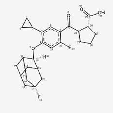 O=C(c1cc(C2CC2)c(O[C@H]2C3CC4CC2C[C@](F)(C4)C3)cc1F)C1CCC[C@H]1C(=O)O